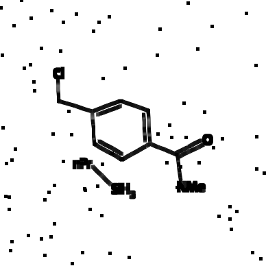 CCC[SiH3].CNC(=O)c1ccc(CCl)cc1